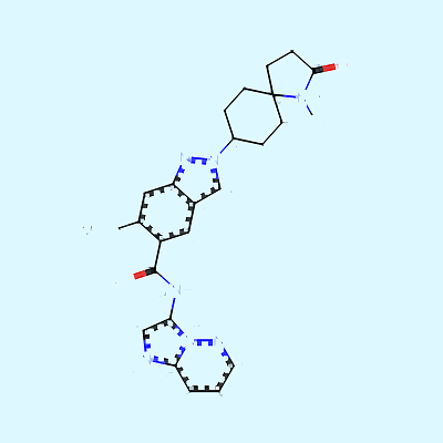 COc1cc2nn(C3CCC4(CCC(=O)N4C)CC3)cc2cc1C(=O)Nc1cnc2cccnn12